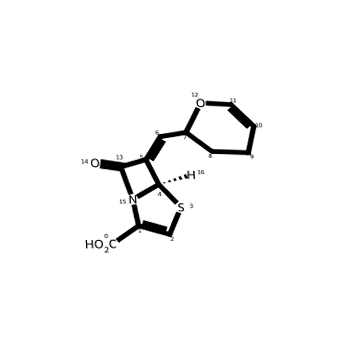 O=C(O)C1=CS[C@@H]2C(=CC3CCC=CO3)C(=O)N12